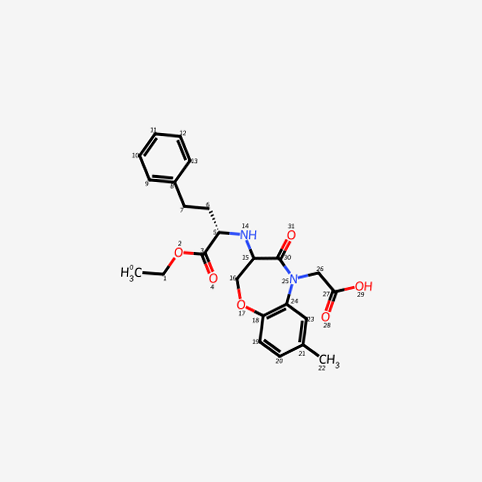 CCOC(=O)[C@H](CCc1ccccc1)NC1COc2ccc(C)cc2N(CC(=O)O)C1=O